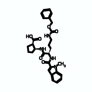 Cn1c(C(=O)N[C@@H](CCCNC(=O)OCc2ccccc2)C(=O)N[C@H]2CCC[C@H]2C(=O)O)cc2ccccc21